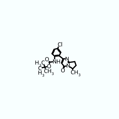 CC1CCc2nc(-c3cc(Cl)ccc3NC(=O)OC(C)(C)C)cc(=O)n21